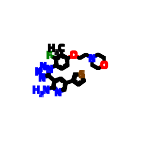 Cc1c(OCCN2CCOCC2)ccc(-n2nnnc2-c2cc(-c3ccsc3)cnc2N)c1F